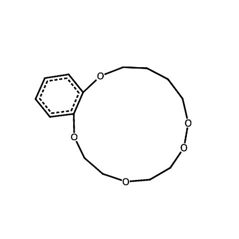 c1ccc2c(c1)OCCCCOOCCOCCO2